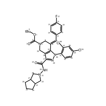 CC(C)(C)OC(=O)N1C/C(=C\c2ccc(F)cc2)c2c(c(C(=O)NN3CC4CCCC4C3)nn2-c2ccc(Cl)cc2Cl)C1